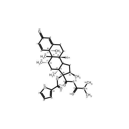 C[C@@H]1CC2[C@H]3CCC4=CC(=O)C=C[C@]4(C)C3(C)[C@@H](C)C[C@]2(C)[C@@]1(OC(=O)c1ccco1)C(=O)SC(=O)N(C)C